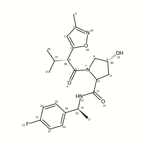 Cc1cc([C@H](C(=O)N2C[C@H](O)CC2C(=O)N[C@@H](C)c2ccc(F)cc2)C(C)C)on1